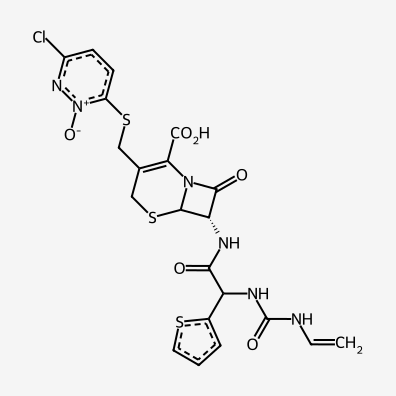 C=CNC(=O)NC(C(=O)N[C@H]1C(=O)N2C(C(=O)O)=C(CSc3ccc(Cl)n[n+]3[O-])CSC12)c1cccs1